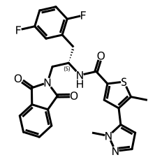 Cc1sc(C(=O)N[C@@H](Cc2cc(F)ccc2F)CN2C(=O)c3ccccc3C2=O)cc1-c1ccnn1C